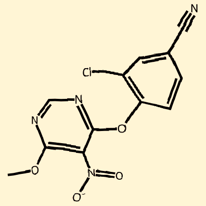 COc1ncnc(Oc2ccc(C#N)cc2Cl)c1[N+](=O)[O-]